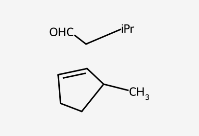 CC(C)CC=O.CC1C=CCC1